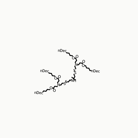 CCCCCCCCCCCCCCOC(=O)CCN(CCSSCCNC(C)(C)CCSSCCN(CCC(=O)OCCCCCCCCCCCCCC)CCC(=O)OCCCCCCCCCCCCCC)CCC(=O)OCCCCCCCCCCCCCC